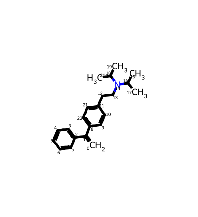 C=C(c1ccccc1)c1ccc(CCN(C(C)C)C(C)C)cc1